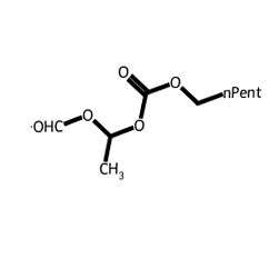 CCCCCCOC(=O)OC(C)O[C]=O